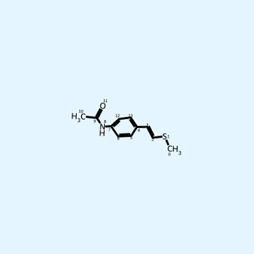 CS/C=C/c1ccc(NC(C)=O)cc1